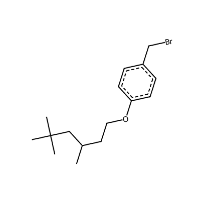 CC(CCOc1ccc(CBr)cc1)CC(C)(C)C